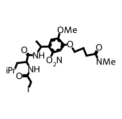 CNC(=O)CCCOc1cc([N+](=O)[O-])c(C(C)NC(=O)C(CC(C)C)NC(=O)CI)cc1OC